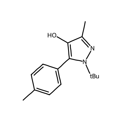 Cc1ccc(-c2c(O)c(C)nn2C(C)(C)C)cc1